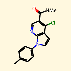 CNC(=O)c1cnc2c(ccn2-c2ccc(C)cc2)c1Cl